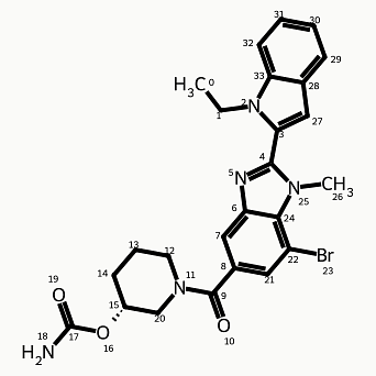 CCn1c(-c2nc3cc(C(=O)N4CCC[C@@H](OC(N)=O)C4)cc(Br)c3n2C)cc2ccccc21